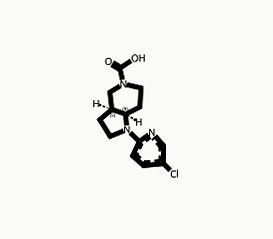 O=C(O)N1CC[C@@H]2[C@@H](CCN2c2ccc(Cl)cn2)C1